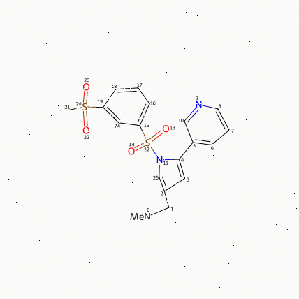 CNCc1cc(-c2cccnc2)n(S(=O)(=O)c2cccc(S(C)(=O)=O)c2)c1